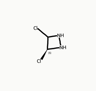 ClC1NN[C@H]1Cl